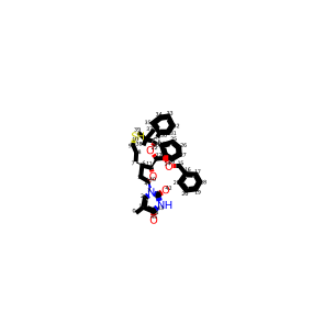 Cc1cn([C@H]2C[C@H](CCCS)[C@@H](C(COCc3ccccc3)O[Si](c3ccccc3)(c3ccccc3)C(C)(C)C)O2)c(=O)[nH]c1=O